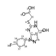 O=C(O)CSC1=Nc2c(cnn2-c2ccc(F)cc2)C(O)N1